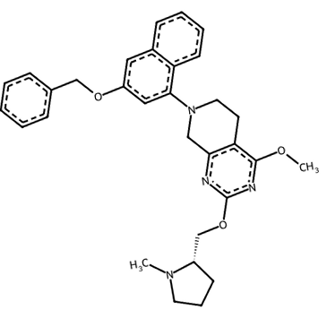 COc1nc(OC[C@@H]2CCCN2C)nc2c1CCN(c1cc(OCc3ccccc3)cc3ccccc13)C2